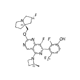 C[C@H]1CCN1c1nc(-c2c(C(F)(F)F)ccc(O)c2F)c(F)c2nc(OC[C@@]34CCCN3C[C@H](F)C4)ncc12